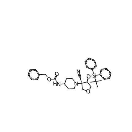 CC(C)(C)[Si](O[C@H]1COC[C@]1(C#N)N1CCC(NC(=O)OCc2ccccc2)CC1)(c1ccccc1)c1ccccc1